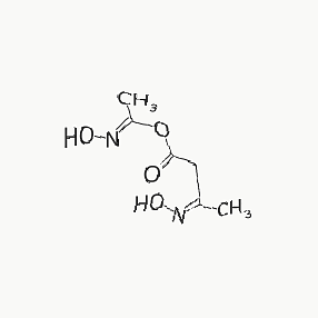 CC(CC(=O)OC(C)=NO)=NO